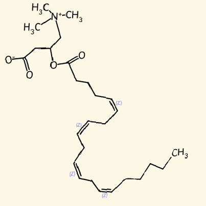 CCCCC/C=C\C/C=C\C/C=C\C/C=C\CCCC(=O)OC(CC(=O)[O-])C[N+](C)(C)C